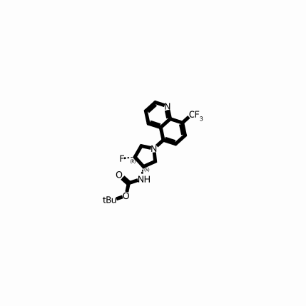 CC(C)(C)OC(=O)N[C@H]1CN(c2ccc(C(F)(F)F)c3ncccc23)C[C@H]1F